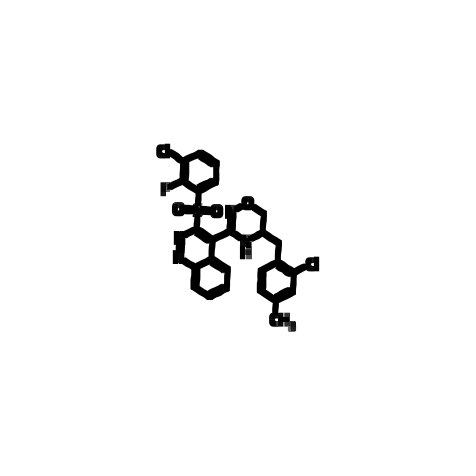 Cc1ccc(CC2CON=C(c3c(S(=O)(=O)c4cccc(Cl)c4F)nnc4ccccc34)N2)c(Cl)c1